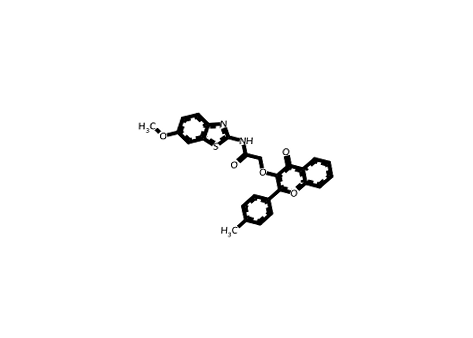 COc1ccc2nc(NC(=O)COc3c(-c4ccc(C)cc4)oc4ccccc4c3=O)sc2c1